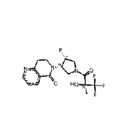 C[C@@](O)(C(=O)N1C[C@@H](F)[C@@H](N2CCc3ncccc3C2=O)C1)C(F)(F)F